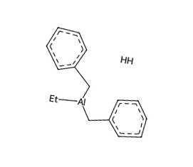 C[CH2][Al]([CH2]c1ccccc1)[CH2]c1ccccc1.[HH]